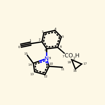 C#Cc1cccc(C(=O)O)c1-n1c(C)ccc1C.C1CC1